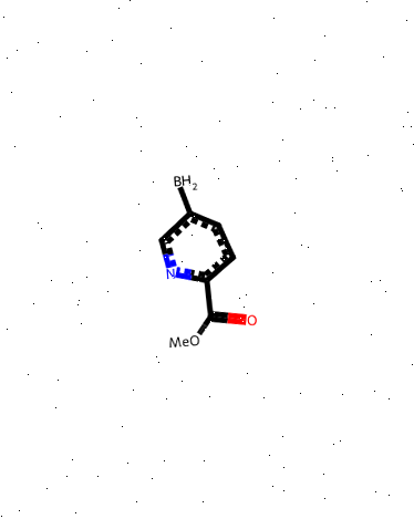 Bc1ccc(C(=O)OC)nc1